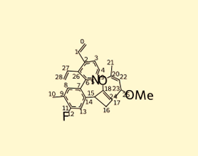 C=Cc1ccnc(-c2cc(C)c(F)cc2C2CC=C2O/C(C)=C\C(C)OC)c1C=C